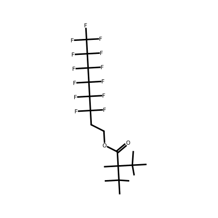 CC(C)(C)C(C)(C(=O)OCCC(F)(F)C(F)(F)C(F)(F)C(F)(F)C(F)(F)C(F)(F)F)C(C)(C)C